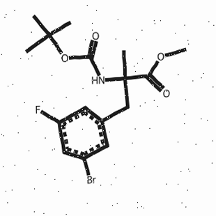 COC(=O)C(C)(Cc1cc(F)cc(Br)c1)NC(=O)OC(C)(C)C